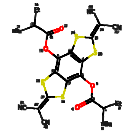 CCCCC(CC)C(=O)Oc1c2c(c(OC(=O)C(CC)CCCC)c3c1SC(=C(C#N)C#N)S3)SC(=C(C#N)C#N)S2